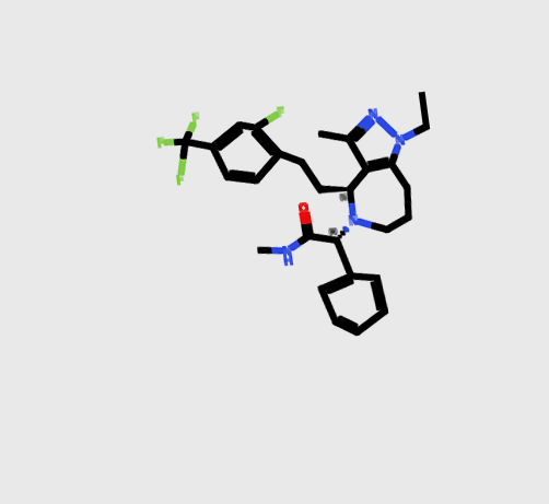 CCn1nc(C)c2c1CCCN([C@@H](C(=O)NC)c1ccccc1)[C@H]2CCc1ccc(C(F)(F)F)cc1F